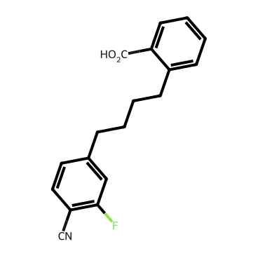 N#Cc1ccc(CCCCc2ccccc2C(=O)O)cc1F